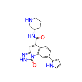 O=C(N[C@H]1CCCNC1)c1cc2n[nH]c(=O)n2c2cc(-c3ccc[nH]3)ccc12